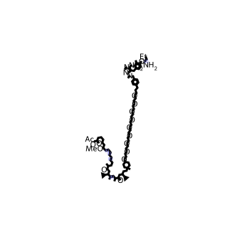 CC/C=C(/N)Oc1ccc(Cc2c(N)ncnc2N(C)Cc2ccc(CCCOCCOCCOCCOCCOCCOCCOCCOCCOC3CCC(C)(CCC(CC(=O)C(C)/C=C(\C)C(CC(=O)C(C)CC/C=C/C=C/C=C/C(CC4CCCC(C(=O)C(C)=O)O4)OC)C4CC4)C4CC4)CC3)cc2)cc1C